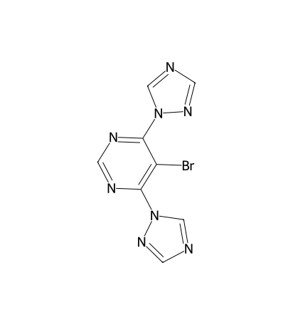 Brc1c(-n2cncn2)ncnc1-n1cncn1